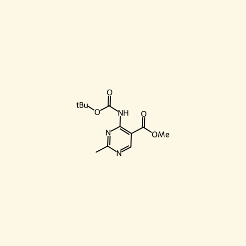 COC(=O)c1cnc(C)nc1NC(=O)OC(C)(C)C